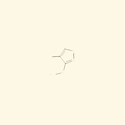 O=CNc1n[nH]cc1F